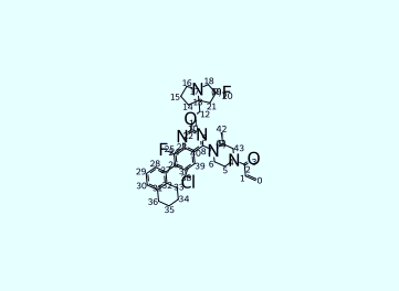 C=CC(=O)N1CCN(c2nc(OCC34CCCN3C[C@H](F)C4)nc3c(F)c(-c4cccc5c4CCCC5)c(Cl)cc23)[C@@H](C)C1